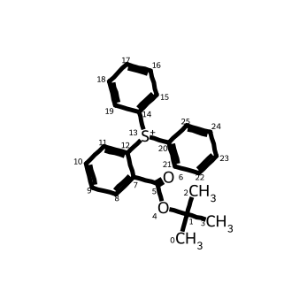 CC(C)(C)OC(=O)c1ccccc1[S+](c1ccccc1)c1ccccc1